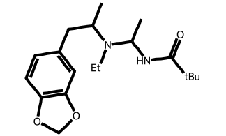 CCN(C(C)Cc1ccc2c(c1)OCO2)C(C)NC(=O)C(C)(C)C